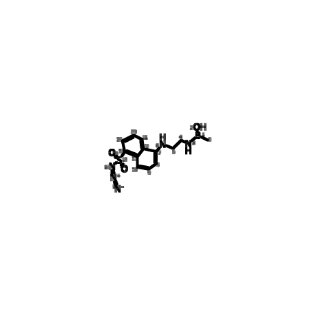 CB(O)NCCNc1cccc2c(S(=O)(=O)N=[N+]=[N-])cccc12